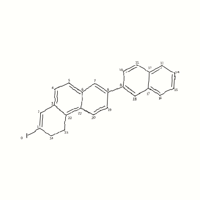 IC1=Cc2ccc3cc(-c4ccc5ccccc5c4)ccc3c2CC1